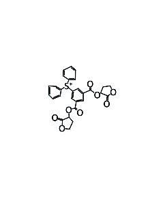 O=C(OC1CCOC1=O)c1cc(C(=O)OC2CCOC2=O)cc([S+](c2ccccc2)c2ccccc2)c1